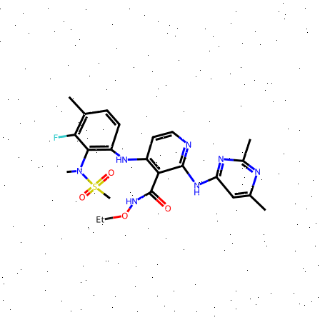 CCONC(=O)c1c(Nc2ccc(C)c(F)c2N(C)S(C)(=O)=O)ccnc1Nc1cc(C)nc(C)n1